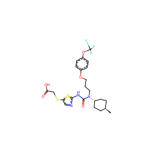 C[C@H]1CC[C@H](N(CCCOc2ccc(OC(F)(F)F)cc2)C(=O)Nc2ncc(SCC(=O)O)s2)CC1